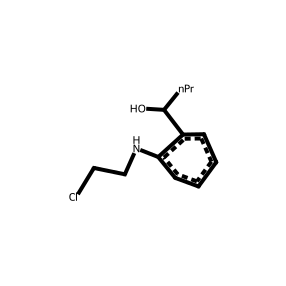 CCCC(O)c1ccccc1NCCCl